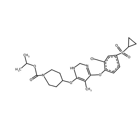 CC1=C(OC2CCN(C(=O)OC(C)C)CC2)NCN=C1Oc1ccc(S(=O)(=O)C2CC2)cc1Cl